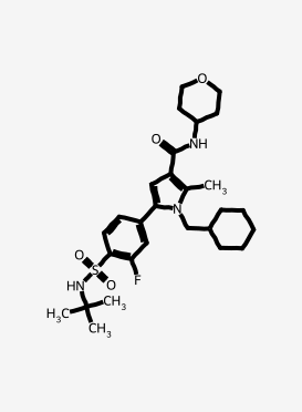 Cc1c(C(=O)NC2CCOCC2)cc(-c2ccc(S(=O)(=O)NC(C)(C)C)c(F)c2)n1CC1CCCCC1